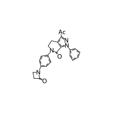 CC(=O)c1nn(-c2ccccc2)c2c1CCN(c1ccc(N3CCC3=O)cc1)C2=O